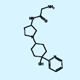 NCC(=O)NC1CCN(C2CCC(O)(c3ccccn3)CC2)C1